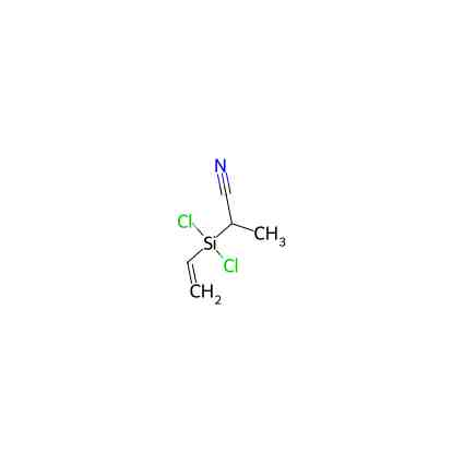 C=C[Si](Cl)(Cl)C(C)C#N